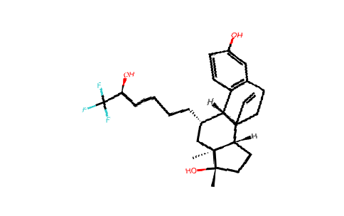 C=CC12CCc3cc(O)ccc3[C@H]1[C@@H](CCCC[C@H](O)C(F)(F)F)C[C@@]1(C)[C@H]2CC[C@]1(C)O